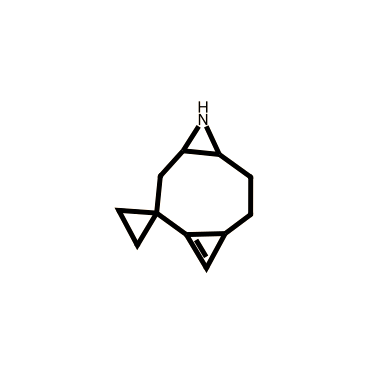 C1=C2C1CCC1NC1CC21CC1